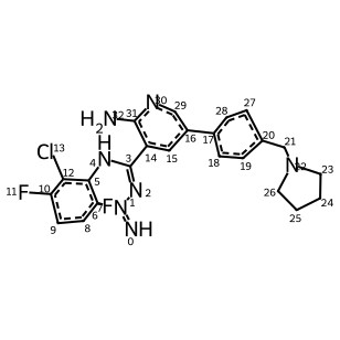 N=N/N=C(\Nc1c(F)ccc(F)c1Cl)c1cc(-c2ccc(CN3CCCC3)cc2)cnc1N